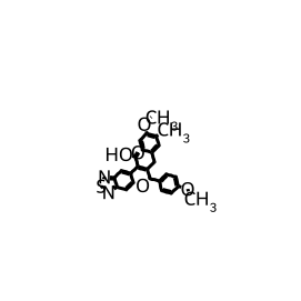 COc1ccc(C(=O)C(Cc2ccc(OC)c(C)c2)=C(C(=O)O)c2ccc3nsnc3c2)cc1